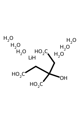 O.O.O.O.O.O.O=C(O)CC(O)(CC(=O)O)C(=O)O.[LiH]